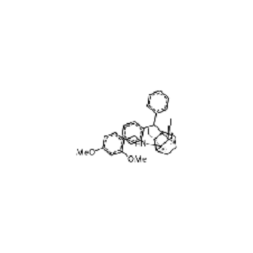 COc1ccc(CN[C@@H]2C3CCN(CC3)[C@H]2C(c2ccccc2)c2ccccc2)c(OC)c1